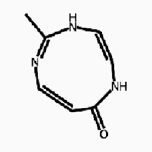 Cc1nccc(=O)[nH]cc[nH]1